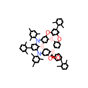 Cc1cc(C)c(N2c3cc4c(cc3B3c5cc6c(cc5N(c5c(C)cc(C)cc5C)c5cc(-c7c(C)cccc7C)cc2c53)Oc2cc(-c3c(C)cccc3C)cc3c2B6c2ccccc2O3)B2c3ccccc3Oc3cc(-c5c(C)cccc5C)cc(c32)O4)c(C)c1